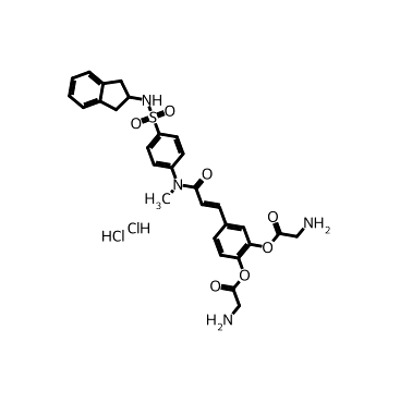 CN(C(=O)C=Cc1ccc(OC(=O)CN)c(OC(=O)CN)c1)c1ccc(S(=O)(=O)NC2Cc3ccccc3C2)cc1.Cl.Cl